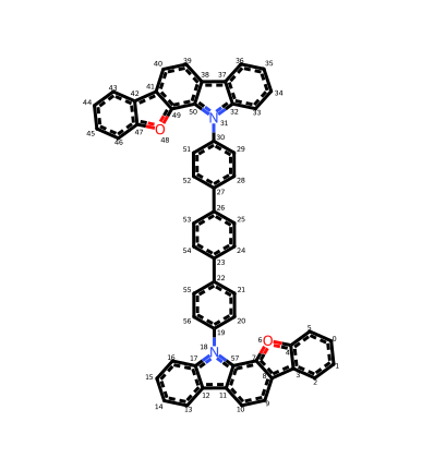 c1ccc2c(c1)oc1c2ccc2c3ccccc3n(-c3ccc(-c4ccc(-c5ccc(-n6c7ccccc7c7ccc8c9ccccc9oc8c76)cc5)cc4)cc3)c21